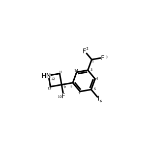 FC(F)c1cc(I)cc(C2(F)CNC2)c1